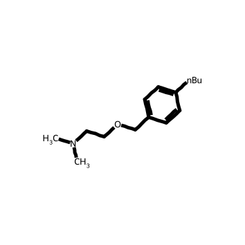 CCCCc1ccc(COCCN(C)C)cc1